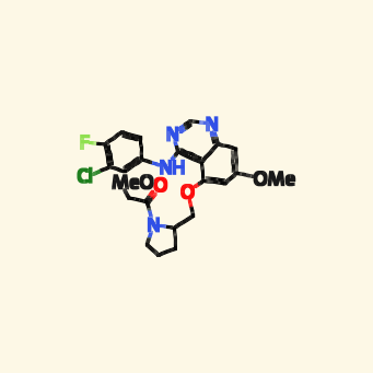 COCC(=O)N1CCCC1COc1cc(OC)cc2ncnc(Nc3ccc(F)c(Cl)c3)c12